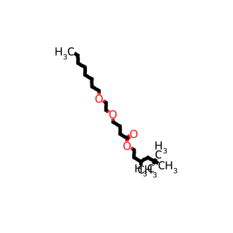 CCCCCCCCOCCOCCCC(=O)OCCC(C)CC(C)(C)C